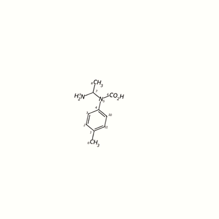 Cc1ccc(N(C(=O)O)C(C)N)cc1